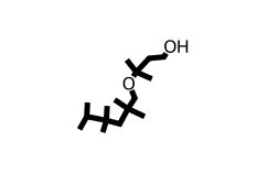 CC(C)C(C)(C)CC(C)(C)COC(C)(C)CCO